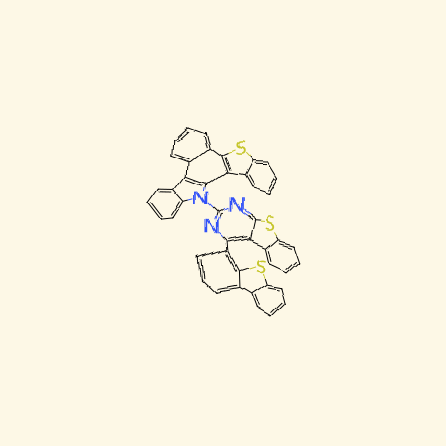 c1ccc2c(c1)sc1c(-c3nc(-n4c5ccccc5c5c6ccccc6c6sc7ccccc7c6c54)nc4sc5ccccc5c34)cccc12